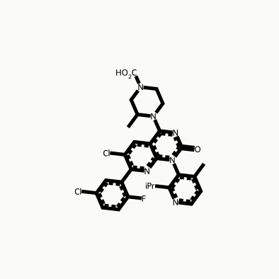 Cc1ccnc(C(C)C)c1-n1c(=O)nc(N2CCN(C(=O)O)CC2C)c2cc(Cl)c(-c3cc(Cl)ccc3F)nc21